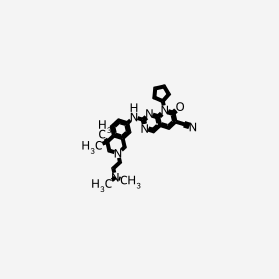 CN(C)CCN1Cc2cc(Nc3ncc4cc(C#N)c(=O)n(C5CCCC5)c4n3)ccc2C(C)(C)C1